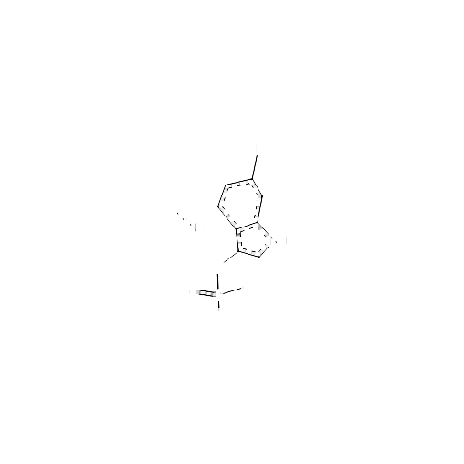 O=P([O-])([O-])Oc1c[nH]c2cc(F)ccc12.[Na+].[Na+]